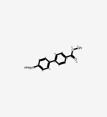 CCCCCCCc1ccc(-c2ccc(C(=O)OCCC)cc2)cc1